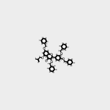 C=C(C)COc1cc(OCc2ccccc2)cc2oc(-c3ccc(OCc4ccccc4)c(OCc4ccccc4)c3)c(OCc3ccccc3)c(=O)c12